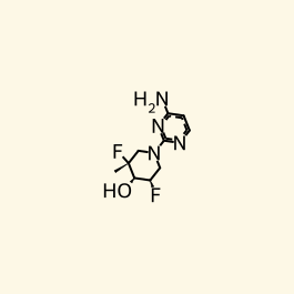 C[C@@]1(F)CN(c2nccc(N)n2)C[C@@H](F)[C@H]1O